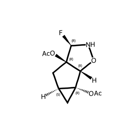 CC(=O)O[C@]12C[C@H]1C[C@@]1(OC(C)=O)[C@@H]2ON[C@@H]1F